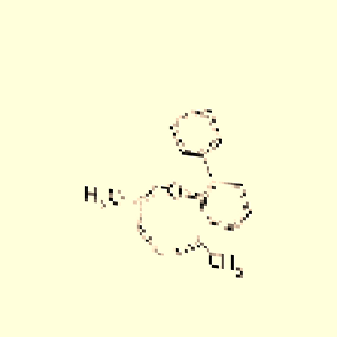 Cc1cccc(C)c2cccc(-c3ccccc3)c2oc1